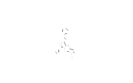 COc1cccc(-c2sc3nc(-c4cccs4)nc(NC4=C(C)C(=O)NC4=O)c3c2C)c1